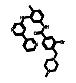 Cc1ccc(NC(=O)c2ccc(CN3CCN(C)CC3)c(Br)c2)cc1Nc1cncc(-c2cccnc2)c1